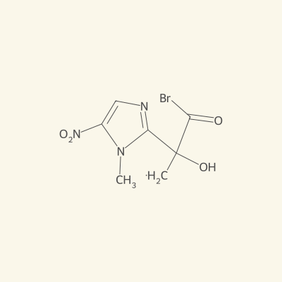 [CH2]C(O)(C(=O)Br)c1ncc([N+](=O)[O-])n1C